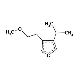 COCCc1nocc1C(C)C